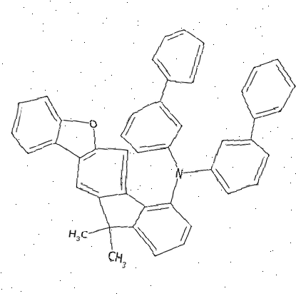 CC1(C)c2cc3c(cc2-c2c(N(c4cccc(-c5ccccc5)c4)c4cccc(-c5ccccc5)c4)cccc21)oc1ccccc13